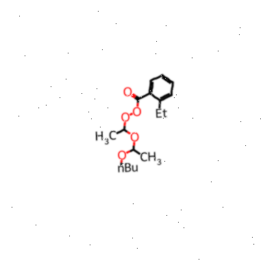 CCCCOC(C)OC(C)OOC(=O)c1ccccc1CC